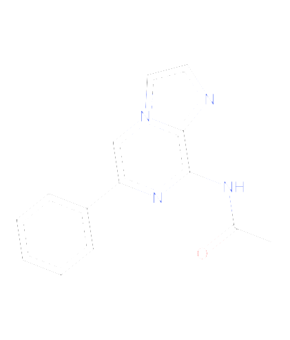 CC(=O)Nc1nc(-c2ccccc2)cn2ccnc12